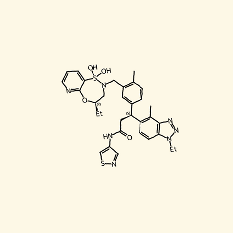 CC[C@@H]1CN(Cc2cc([C@H](CC(=O)Nc3cnsc3)c3ccc4c(nnn4CC)c3C)ccc2C)S(O)(O)c2cccnc2O1